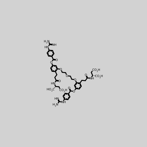 N=C(N)Nc1ccc(C(=O)Oc2ccc(CCC(=O)N[C@H](CC(=O)O)C(=O)O)c(OCCOCCOc3cc(OC(=O)c4ccc(NC(=N)N)cc4)ccc3CCC(=O)N[C@H](CC(=O)O)C(=O)O)c2)cc1